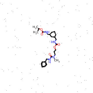 CC(C)OC(=O)NCC1CCCC(CNC(=O)OCCCN(C)C(=O)NCc2ccccc2)C1